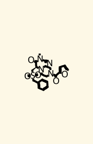 CN(C#N)C(=O)[C@H](CS(=O)(=O)Cc1ccccc1)N1CCN(C(=O)c2ccco2)CC1